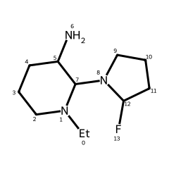 CCN1CCCC(N)C1N1CCCC1F